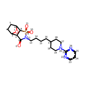 O=C1C2C3CCC(O3)C2S(=O)(=O)N1CCCCC1CCN(c2ncccn2)CC1